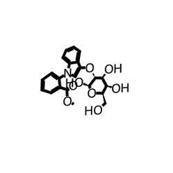 COC(=O)c1ccccc1-n1cc(O[C@@H]2[C@@H](O)[C@@H](O)[C@@H](CO)O[C@H]2O)c2ccccc21